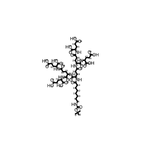 CC(C)(C)OC(=O)NCCCCCCCC(=O)NC(CCC(=O)NC(CCC(=O)NC(CCC(=O)O)C(=O)O)C(=O)NC(CCC(=O)O)C(=O)O)C(=O)NC(CCC(=O)NC(CCC(=O)O)C(=O)O)C(=O)NC(CCC(=O)O)C(=O)O